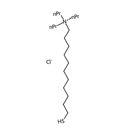 CCC[N+](CCC)(CCC)CCCCCCCCCCCS.[Cl-]